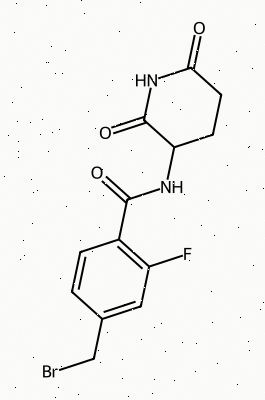 O=C1CCC(NC(=O)c2ccc(CBr)cc2F)C(=O)N1